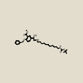 COC(=O)c1cc([C@@H](O)CNCCCCCCCCCCCNC(=O)OC(C)(C)C)ccc1OCc1ccccc1